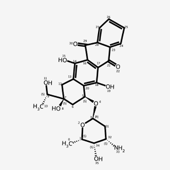 C[C@@H]1O[C@@H](O[C@H]2C[C@](O)([C@H](C)O)Cc3c(O)c4c(c(O)c32)C(=O)c2ccccc2C4=O)C[C@H](N)[C@@H]1O